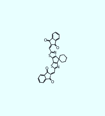 O=C1C(=Cc2nc3c(s2)-c2sc(C=C4C(=O)c5ccccc5C4=O)nc2C32CCCCC2)C(=O)c2ccccc21